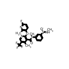 CN[S@+]([O-])c1cccc(N(C)C(=O)c2c(Oc3ccc(F)nc3C)ncc(C(F)(F)F)c2C)c1